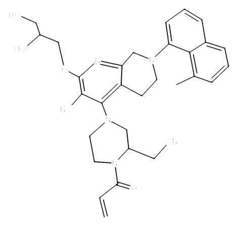 C=CC(=O)N1CCN(c2c(C#N)c(OCC(O)CO)nc3c2CCN(c2cccc4cccc(C)c24)C3)CC1CC#N